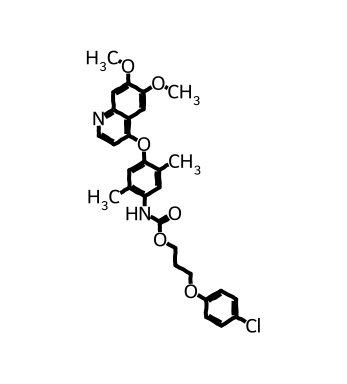 COc1cc2nccc(Oc3cc(C)c(NC(=O)OCCCOc4ccc(Cl)cc4)cc3C)c2cc1OC